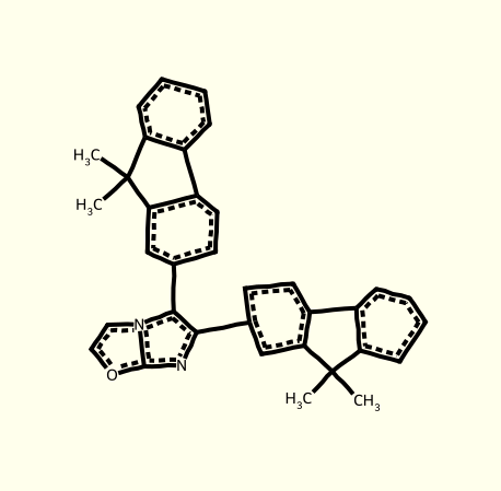 CC1(C)c2ccccc2-c2ccc(-c3nc4occn4c3-c3ccc4c(c3)C(C)(C)c3ccccc3-4)cc21